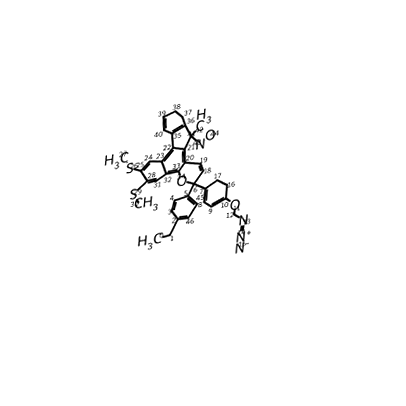 CCc1ccc(C2(C3=CC=C(OCN=[N+]=[N-])CC3)C=Cc3c4c(c5cc(SC)c(SC)cc5c3O2)C2=C(CCC=C2)C4(C)N=O)cc1